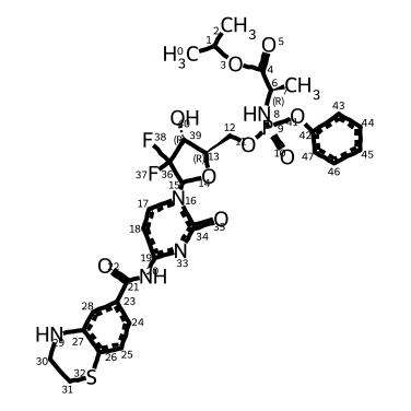 CC(C)OC(=O)[C@@H](C)NP(=O)(OC[C@H]1OC(n2ccc(NC(=O)c3ccc4c(c3)NCCS4)nc2=O)C(F)(F)[C@@H]1O)Oc1ccccc1